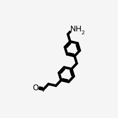 NCc1ccc(Cc2ccc(CC[C]=O)cc2)cc1